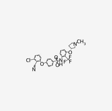 CN1CC[C@@H](Oc2cccc(NS(=O)(=O)c3ccc(Oc4cccc(Cl)c4C#N)cc3)c2C(F)(F)F)C1